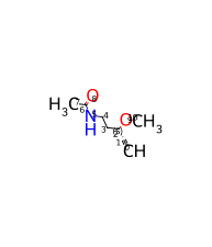 C#C[C@H](CCNC(C)=O)OC